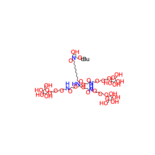 CC(C)(C)OC[C@@H]1C[C@@H](O)CN1C(=O)CCCCCCCCCCC(=O)NC(COCCC(=O)NCCOCCOCCO[C@H]1OC(CO)[C@@H](O)[C@H](O)C1O)(COCCC(=O)NCCOCCOCCO[C@H]1OC(CO)[C@@H](O)[C@H](O)C1O)COCCC(=O)NCOCCOCCO[C@H]1OC(CO)[C@@H](O)[C@H](O)C1O